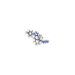 C[C@]12Cc3cnn(-c4ccc(F)cc4)c3C=C1CCC[C@@H]2CN=[N+]=[N-]